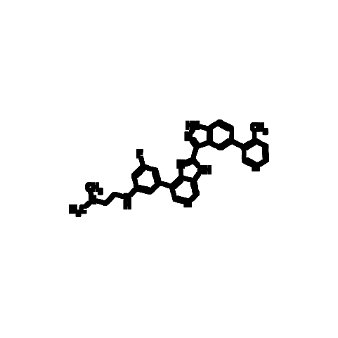 Cc1ccncc1-c1ccc2[nH]nc(-c3nc4c(-c5cc(F)cc(NCCN(C)C)c5)cncc4[nH]3)c2c1